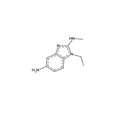 CCn1c(NC)nc2cc(N)ccc21